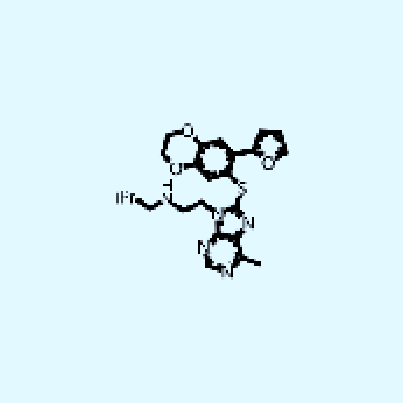 Cc1ncnc2c1nc(Sc1cc3c(cc1-c1ccco1)OCCO3)n2CCNCC(C)C